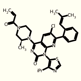 C=CC(=O)N1CCN(c2nc(=O)n(-c3scnc3C(C)C)c3nc(-c4ccccc4C=C(C)C)c(Cl)cc23)[C@@H](C)C1